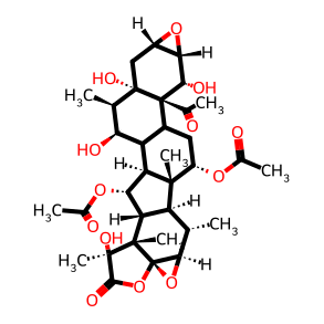 CC(=O)O[C@H]1[C@@H]2[C@H]([C@H](C)[C@H]3O[C@]34OC(=O)[C@@](C)(O)[C@]24C)[C@@]2(C)[C@@H](OC(C)=O)CC3C([C@@H](O)[C@@H](C)[C@@]4(O)C[C@@H]5O[C@@H]5[C@H](O)[C@]34C(C)=O)[C@H]12